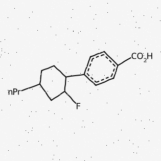 CCCC1CCC(c2ccc(C(=O)O)cc2)C(F)C1